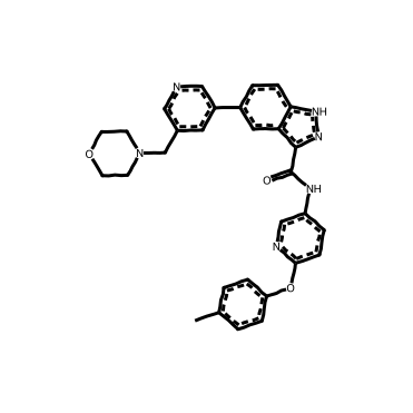 Cc1ccc(Oc2ccc(NC(=O)c3n[nH]c4ccc(-c5cncc(CN6CCOCC6)c5)cc34)cn2)cc1